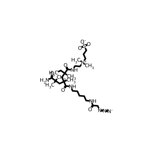 CCC(C)(CC(C)(CC(C)(C)C(N)=O)C(=O)NCCCCCNC(=O)CN=[N+]=[N-])C(=O)NCC[N+](C)(C)CCCS(=O)(=O)[O-]